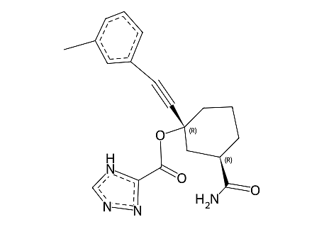 Cc1cccc(C#C[C@@]2(OC(=O)c3nnc[nH]3)CCC[C@@H](C(N)=O)C2)c1